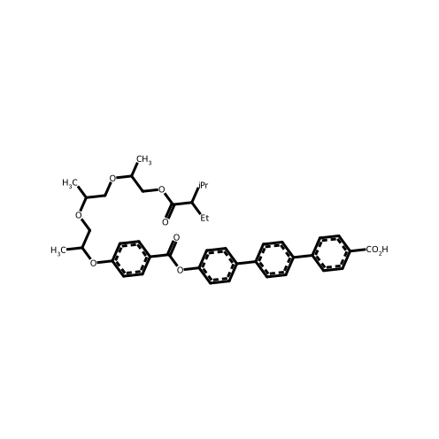 CCC(C(=O)OCC(C)OCC(C)OCC(C)Oc1ccc(C(=O)Oc2ccc(-c3ccc(-c4ccc(C(=O)O)cc4)cc3)cc2)cc1)C(C)C